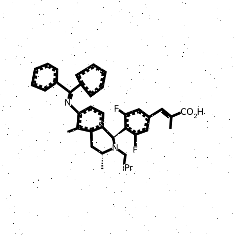 C/C(=C\c1cc(F)c([C@@H]2c3ccc(N=C(c4ccccc4)c4ccccc4)c(C)c3C[C@@H](C)N2CC(C)C)c(F)c1)C(=O)O